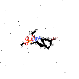 CCOP(=O)(Cc1cc2ccc(Br)cc2[nH]1)OCC